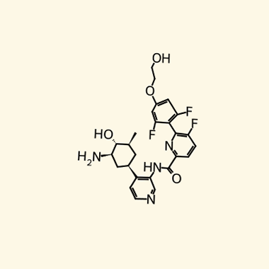 C[C@H]1C[C@@H](c2ccncc2NC(=O)c2ccc(F)c(-c3c(F)cc(OCCO)cc3F)n2)C[C@@H](N)[C@@H]1O